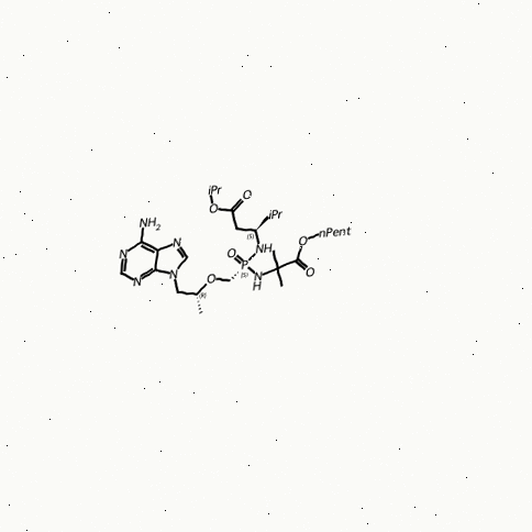 CCCCCOC(=O)C(C)(C)N[P@](=O)(CO[C@H](C)Cn1cnc2c(N)ncnc21)N[C@@H](CC(=O)OC(C)C)C(C)C